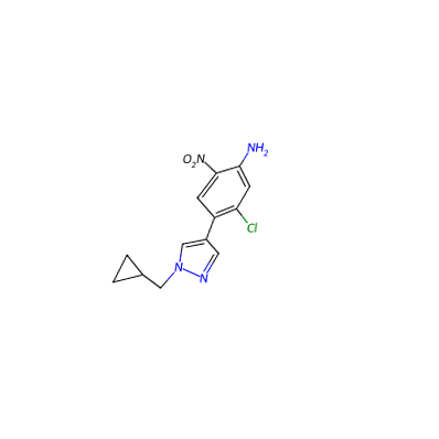 Nc1cc(Cl)c(-c2cnn(CC3CC3)c2)cc1[N+](=O)[O-]